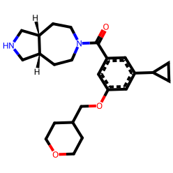 O=C(c1cc(OCC2CCOCC2)cc(C2CC2)c1)N1CC[C@@H]2CNC[C@@H]2CC1